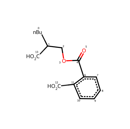 CCCCC(COC(=O)c1ccccc1C(=O)O)C(=O)O